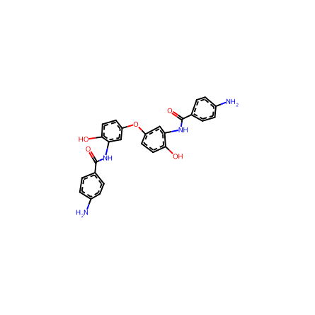 Nc1ccc(C(=O)Nc2cc(Oc3ccc(O)c(NC(=O)c4ccc(N)cc4)c3)ccc2O)cc1